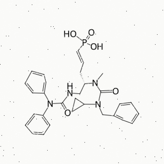 CN(C(=O)N(Cc1ccccc1)C1CC1)[C@@H](C/C=C/P(=O)(O)O)CNC(=O)N(c1ccccc1)c1ccccc1